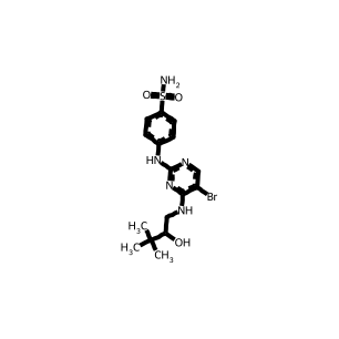 CC(C)(C)C(O)CNc1nc(Nc2ccc(S(N)(=O)=O)cc2)ncc1Br